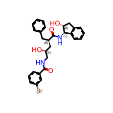 O=C(NC[C@@H](O)C[C@@H](Cc1ccccc1)C(=O)N[C@H]1c2ccccc2C[C@H]1O)c1cccc(Br)c1